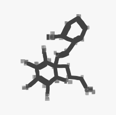 CCCCC1(N=Cc2ccccc2O)C(F)=C(F)C(F)=C(F)C1F